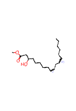 CCCCC/C=C\C/C=C\CCCCCC(O)CC(=O)OC